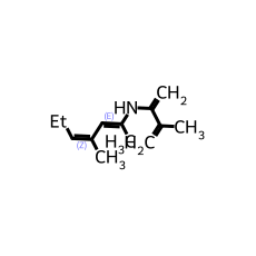 C=C(C)C(=C)N/C(C)=C/C(C)=C\CC